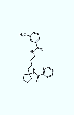 Cc1cccc(C(=O)NCCCCC2(NC(=O)c3ccncn3)CCCC2)c1